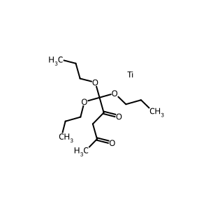 CCCOC(OCCC)(OCCC)C(=O)CC(C)=O.[Ti]